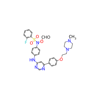 CN1CCN(CCOc2ccc(-c3cc(Nc4ccc(N(OC=O)S(=O)(=O)c5ccccc5F)cc4)ncn3)cc2)CC1